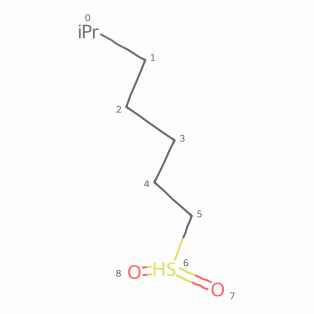 CC(C)CCCCC[SH](=O)=O